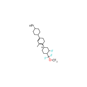 CCCC1CCC(C2=CC(C)=C([C@@H]3CCC(C(F)(F)OC(F)(F)F)C(F)C3)CC2)CC1